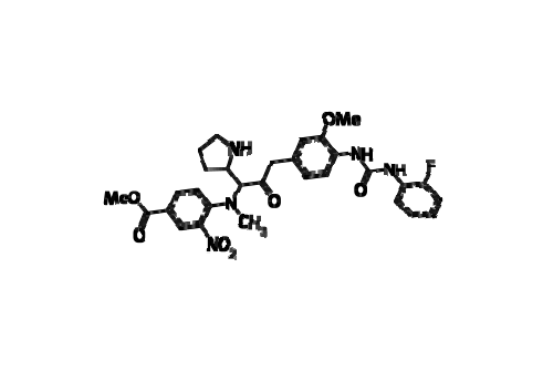 COC(=O)c1ccc(N(C)C(C(=O)Cc2ccc(NC(=O)Nc3ccccc3F)c(OC)c2)C2CCCN2)c([N+](=O)[O-])c1